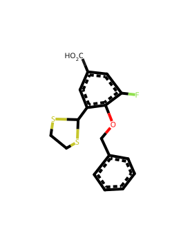 O=C(O)c1cc(F)c(OCc2ccccc2)c(C2SCCS2)c1